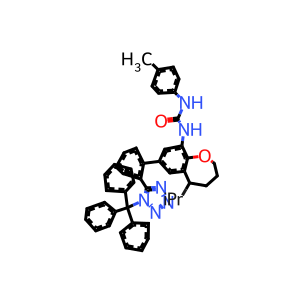 Cc1ccc(NC(=O)Nc2cc(-c3ccccc3-c3nnnn3C(c3ccccc3)(c3ccccc3)c3ccccc3)cc3c2OCCCC3C(C)C)cc1